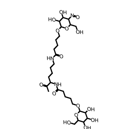 CC(=O)C(CCCCNC(=O)CCCCOC1OC(CO)C(N=O)C(O)C1O)NC(=O)CCCCOC1OC(CO)C(O)C(O)C1O